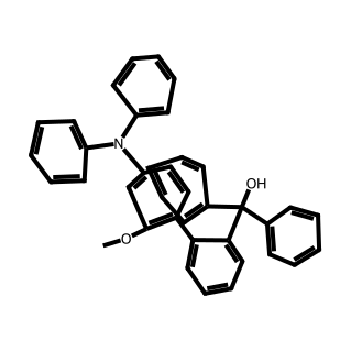 COc1cc(N(c2ccccc2)c2ccccc2)ccc1-c1ccccc1C(O)(c1ccccc1)c1ccccc1